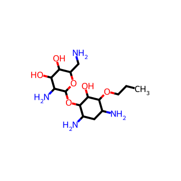 CCCOC1C(N)CC(N)C(OC2OC(CN)C(O)C(O)C2N)C1O